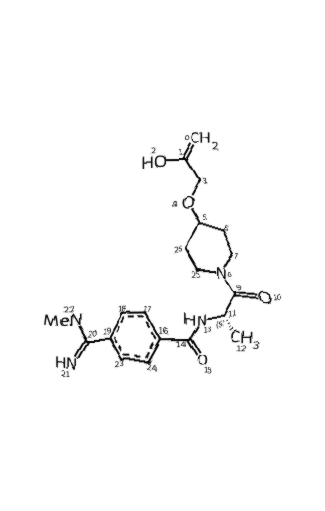 C=C(O)COC1CCN(C(=O)[C@H](C)NC(=O)c2ccc(C(=N)NC)cc2)CC1